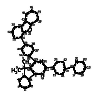 CC1(C)c2ccccc2-c2nc(-c3ccc(-c4ccccn4)cc3)nc(-c3ccc(-c4cccc5c4oc4ccccc45)cc3)c21